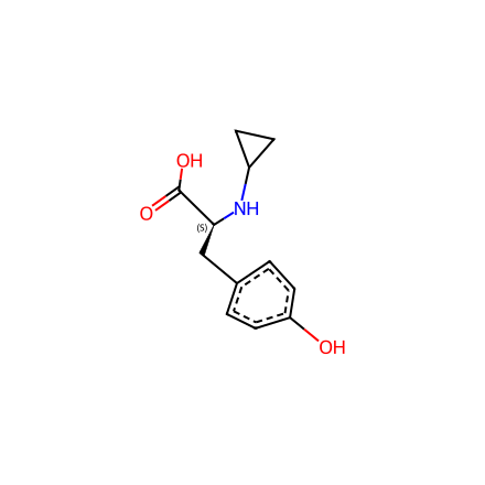 O=C(O)[C@H](Cc1ccc(O)cc1)NC1CC1